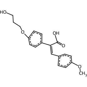 COc1ccc(C=C(C(=O)O)c2ccc(OCCCO)cc2)cc1